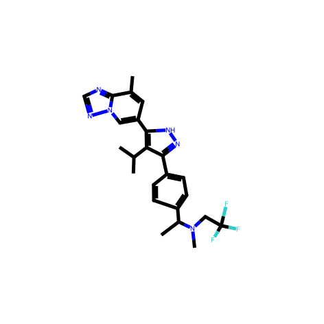 Cc1cc(-c2[nH]nc(-c3ccc(C(C)N(C)CC(F)(F)F)cc3)c2C(C)C)cn2ncnc12